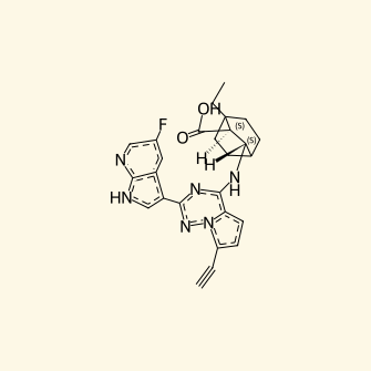 C#Cc1ccc2c(N[C@H]3C4CCC(CC)(CC4)[C@@H]3C(=O)O)nc(-c3c[nH]c4ncc(F)cc34)nn12